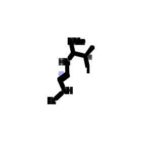 CCN/C=C/NC(NC)[C@@H](C)I